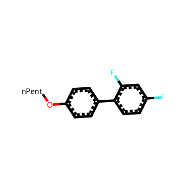 CCCCCOc1ccc(-c2ccc(F)cc2F)cc1